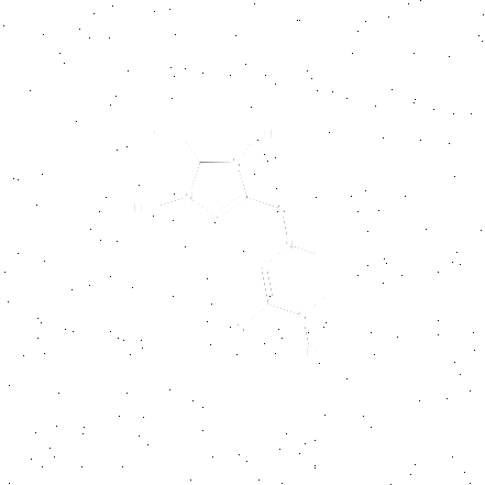 CCOC(=O)C1N(C)C=C(NN(C)/C=C(/N)N(C)CC)N1C